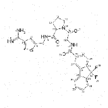 N=C(N)c1csc(CNC(=O)C2CCCN2C(=O)CNC(=O)c2ccc3c(c2)-c2ccccc2C3(F)F)c1